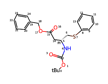 CC(C)(C)OC(=O)N[C@@H](CSc1ccccc1)CC(=O)OCc1ccccc1